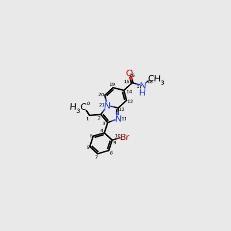 CCc1c(-c2ccccc2Br)nc2cc(C(=O)NC)ccn12